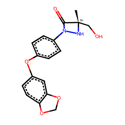 C[C@@]1(CO)NN(c2ccc(Oc3ccc4c(c3)OCO4)cc2)C1=O